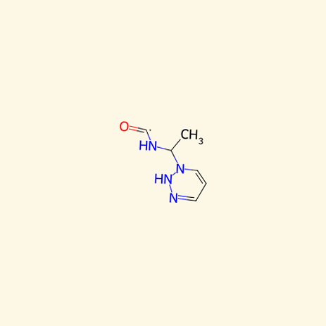 CC(N[C]=O)N1C=CC=NN1